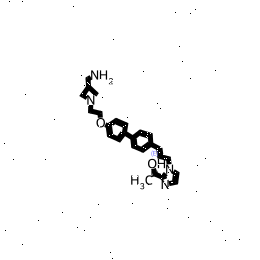 C[C@H](O)c1nccn1C/C=C/c1ccc(-c2ccc(OCCN3CC(CN)C3)cc2)cc1